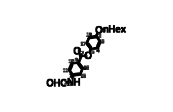 CCCCCCOc1ccc(OC(=O)c2ccc(NC=O)cc2)cc1